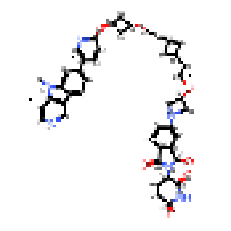 Cn1c2ccncc2c2ccc(-c3ccc(OC4CC(OCCC5CC(CCOC6CN(c7ccc8c(c7)C(=O)N(C7CCC(=O)NC7=O)C8=O)C6)C5)C4)nc3)cc21